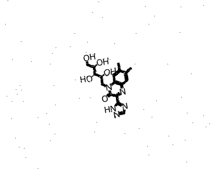 Cc1cc2nc(-c3ncn[nH]3)c(=O)n(C[C@H](O)[C@H](O)[C@H](O)CO)c2cc1C